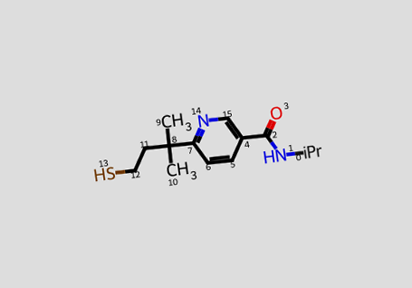 CC(C)NC(=O)c1ccc(C(C)(C)CCS)nc1